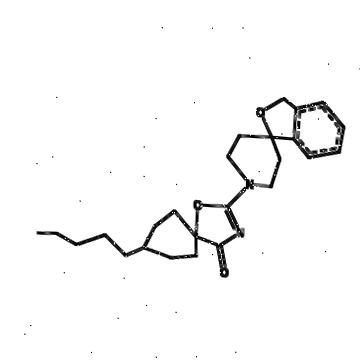 CCCCCC1CCC2(CC1)OC(N1CCC3(CC1)OCc1ccccc13)=NC2=O